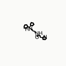 O=C(C=Cc1cccnc1)NCCCCNC(c1ccccc1)c1ccccc1